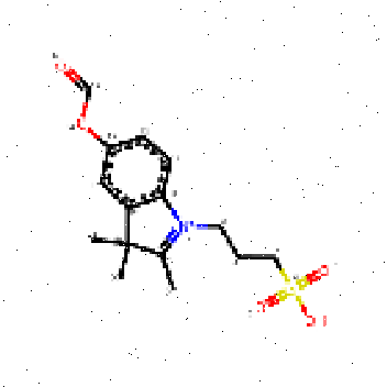 CC1=[N+](CCCS(=O)(=O)O)c2ccc(OC=O)cc2C1(C)C